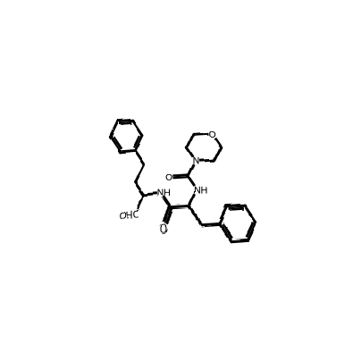 O=CC(CCc1ccccc1)NC(=O)C(Cc1ccccc1)NC(=O)N1CCOCC1